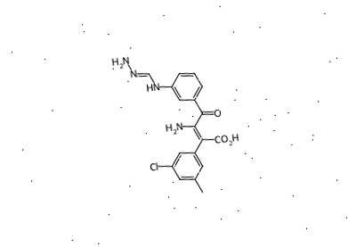 Cc1cc(Cl)cc(C(C(=O)O)=C(N)C(=O)c2cccc(NC=NN)c2)c1